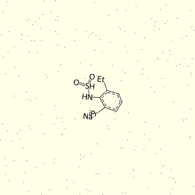 CCc1cccc(C(C)C)c1N[SH](=O)=O.[Na]